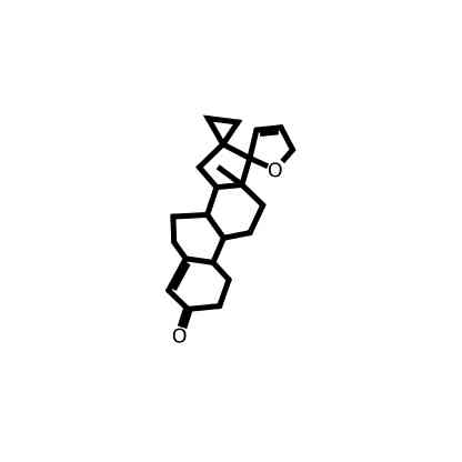 CC12CCC3C4CCC(=O)C=C4CCC3C1CC1(CC1)C21C=CCO1